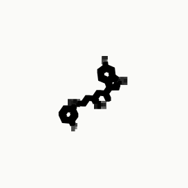 CC(CC(=N)CCNc1cccc(F)c1)c1c[nH]c2cc(F)ccc12